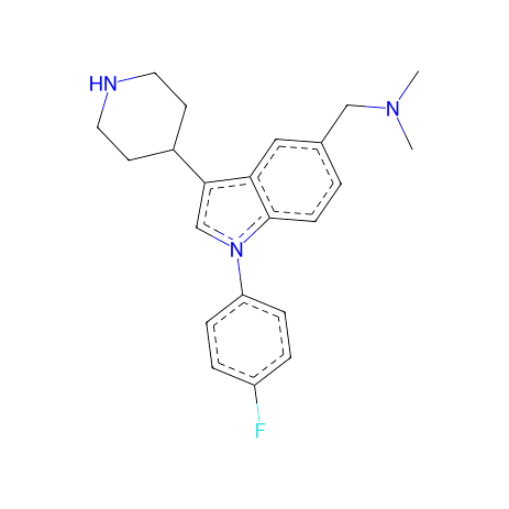 CN(C)Cc1ccc2c(c1)c(C1CCNCC1)cn2-c1ccc(F)cc1